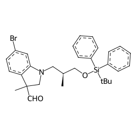 C[C@H](CO[Si](c1ccccc1)(c1ccccc1)C(C)(C)C)CN1CC(C)(C=O)c2ccc(Br)cc21